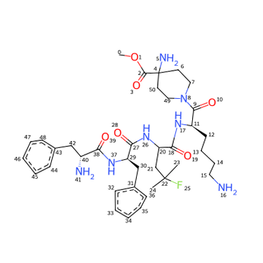 COC(=O)C1(N)CCN(C(=O)[C@@H](CCCCN)NC(=O)C(CC(C)(C)F)NC(=O)[C@@H](Cc2ccccc2)NC(=O)[C@H](N)Cc2ccccc2)CC1